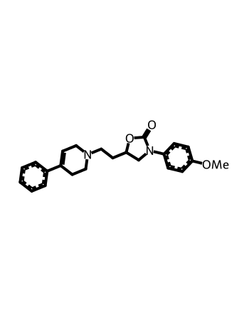 COc1ccc(N2CC(CCN3CC=C(c4ccccc4)CC3)OC2=O)cc1